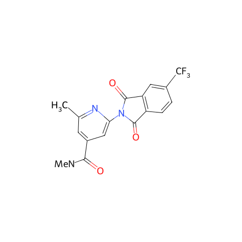 CNC(=O)c1cc(C)nc(N2C(=O)c3ccc(C(F)(F)F)cc3C2=O)c1